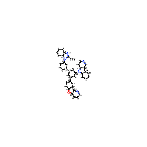 CC(C)c1nc2ccccc2n1-c1cccc(-c2cc(-c3ccc4oc5cccnc5c4c3)cc(-n3c4ccccc4c4cnccc43)c2)c1